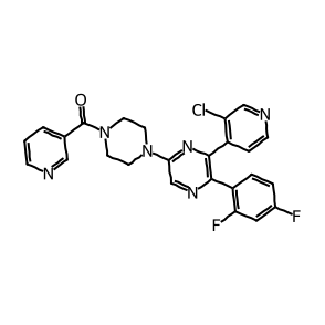 O=C(c1cccnc1)N1CCN(c2cnc(-c3ccc(F)cc3F)c(-c3ccncc3Cl)n2)CC1